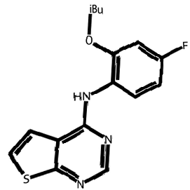 CCC(C)Oc1cc(F)ccc1Nc1ncnc2sccc12